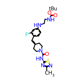 Cc1nsc(NC(=O)N2CCC(=Cc3ccc(NCCNC(=O)OC(C)(C)C)cc3F)CC2)n1